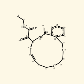 CCNC(=O)C(=O)[C@@H]1CC=CCCCCCCCc2ccccc2C(=O)N1